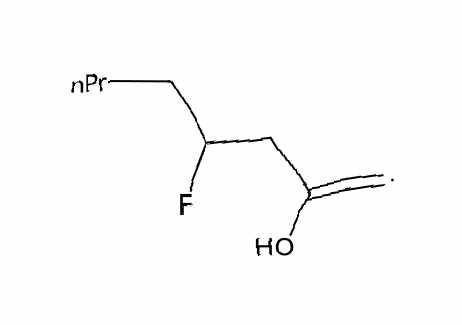 [CH]=C(O)CC(F)CCCC